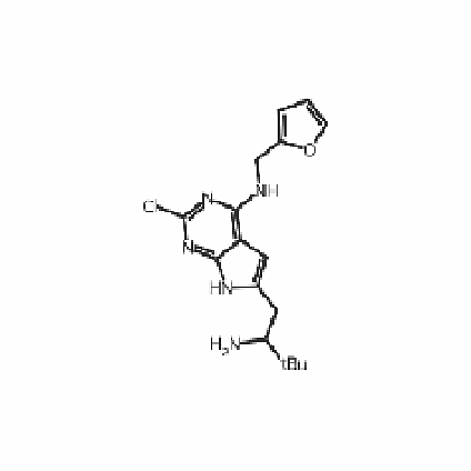 CC(C)(C)C(N)Cc1cc2c(NCc3ccco3)nc(Cl)nc2[nH]1